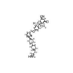 CC(C)(c1ccc(OCc2ccnc(N3CCC(C4CCN(CC5CNC5)CC4)CC3)n2)cc1)c1cc(Cl)cc(C#N)c1